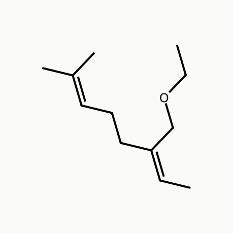 CC=C(CCC=C(C)C)COCC